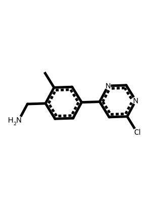 Cc1cc(-c2cc(Cl)ncn2)ccc1CN